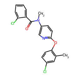 Cc1cc(Cl)ccc1Oc1ccc(N(C)C(=O)c2ccccc2Cl)cn1